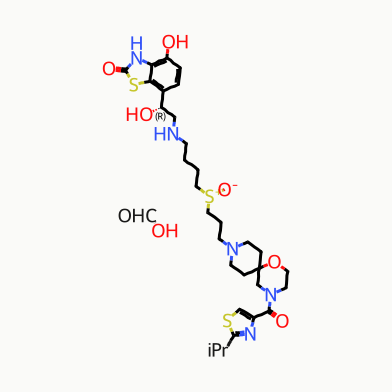 CC(C)c1nc(C(=O)N2CCOC3(CCN(CCC[S+]([O-])CCCCNC[C@H](O)c4ccc(O)c5[nH]c(=O)sc45)CC3)C2)cs1.O=CO